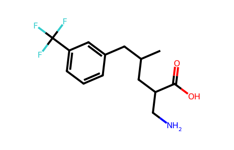 CC(Cc1cccc(C(F)(F)F)c1)CC(CN)C(=O)O